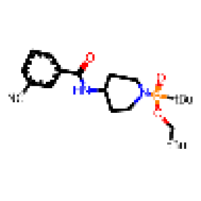 CC(C)(C)COP(=O)(N1CCC(NC(=O)c2cccc(C#N)c2)CC1)C(C)(C)C